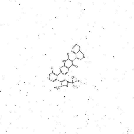 Cc1nn(C(C)(C)C)cc1-c1cccc(Cl)c1-c1ccc2c(=O)n(-c3cncc4ccccc34)c(=O)[nH]c2c1